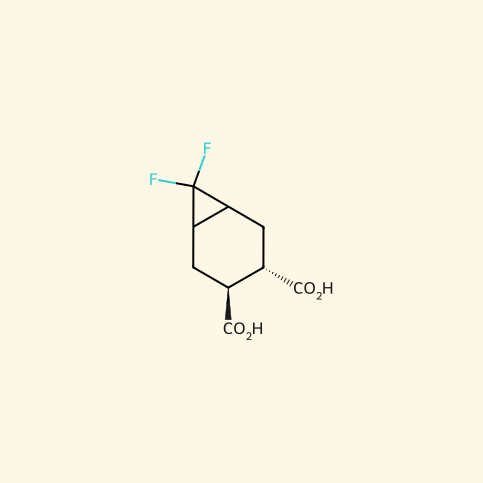 O=C(O)[C@H]1CC2C(C[C@@H]1C(=O)O)C2(F)F